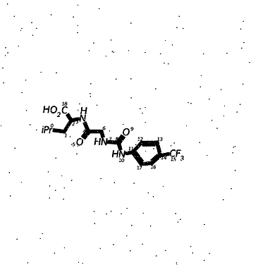 CC(C)CC(NC(=O)CNC(=O)Nc1ccc(C(F)(F)F)cc1)C(=O)O